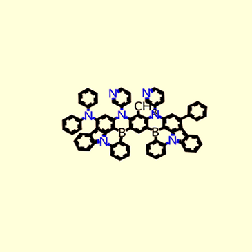 Cc1c2c(cc3c1N(c1cccnc1)c1cc(N(c4ccccc4)c4ccccc4)c4c5ccccc5n5c4c1B3c1ccccc1-5)B1c3ccccc3-n3c4ccccc4c4c(-c5ccccc5)cc(c1c43)N2c1cccnc1